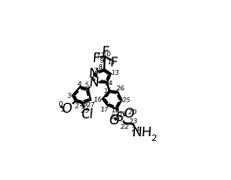 COc1ccc(-n2nc(C(F)(F)F)cc2-c2ccc(S(=O)(=O)CCN)cc2)cc1Cl